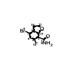 NC(=O)c1c(F)cc(Br)c2ccoc12